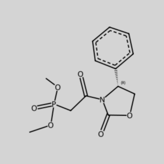 COP(=O)(CC(=O)N1C(=O)OC[C@H]1c1ccccc1)OC